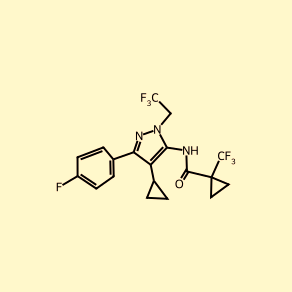 O=C(Nc1c(C2CC2)c(-c2ccc(F)cc2)nn1CC(F)(F)F)C1(C(F)(F)F)CC1